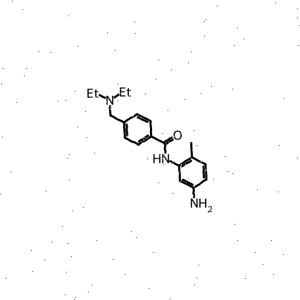 CCN(CC)Cc1ccc(C(=O)Nc2cc(N)ccc2C)cc1